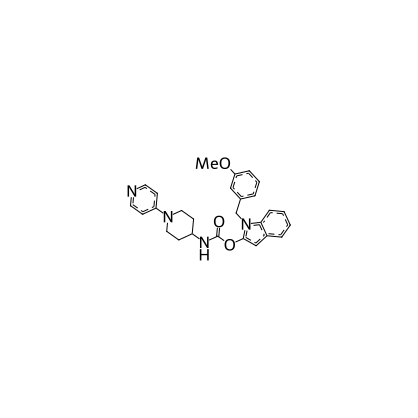 COc1cccc(Cn2c(OC(=O)NC3CCN(c4ccncc4)CC3)cc3ccccc32)c1